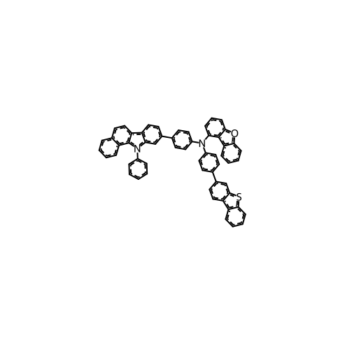 c1ccc(-n2c3cc(-c4ccc(N(c5ccc(-c6ccc7c(c6)sc6ccccc67)cc5)c5cccc6oc7ccccc7c56)cc4)ccc3c3ccc4ccccc4c32)cc1